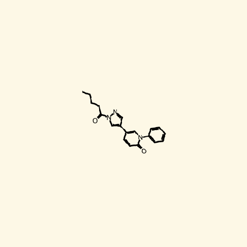 CCCCC(=O)n1cc(-c2ccc(=O)n(-c3ccccc3)c2)cn1